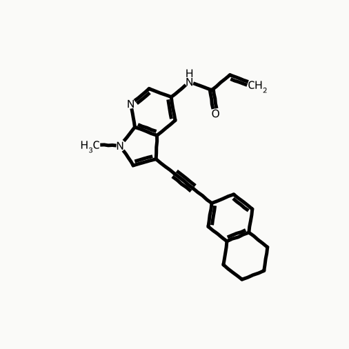 C=CC(=O)Nc1cnc2c(c1)c(C#Cc1ccc3c(c1)CCCC3)cn2C